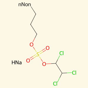 CCCCCCCCCCCCOS(=O)(=O)OC(Cl)C(Cl)Cl.[NaH]